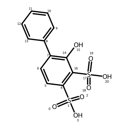 O=S(=O)(O)c1ccc(-c2ccccc2)c(O)c1S(=O)(=O)O